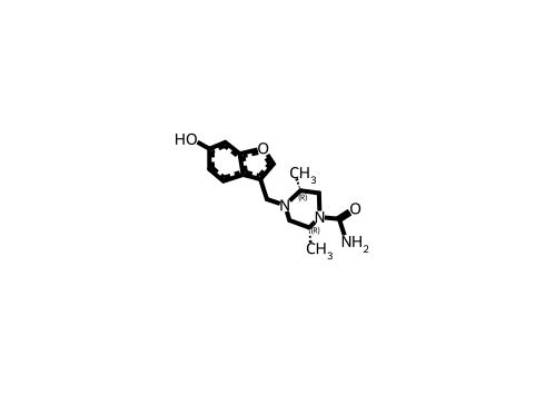 C[C@@H]1CN(C(N)=O)[C@H](C)CN1Cc1coc2cc(O)ccc12